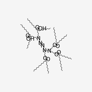 CCCCCCCCCCC(CCCCCCCC)C(=O)OCCCCN(CCCCOC(=O)C(CCCCCCCC)CCCCCCCCCC)CCN(CCCCOC(=O)C(CCCCCCCC)CCCCCCCCCC)CCN1CCN(CCN(CCCCC(CCCCCCCC)(CCCCCCCCCC)C(=O)O)CCCCC(CCCCCCCC)(CCCCCCCCCC)C(=O)O)CC1